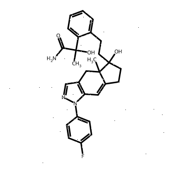 CC(O)(C(N)=O)c1ccccc1CCC1(O)CCC2=Cc3c(cnn3-c3ccc(F)cc3)CC21C